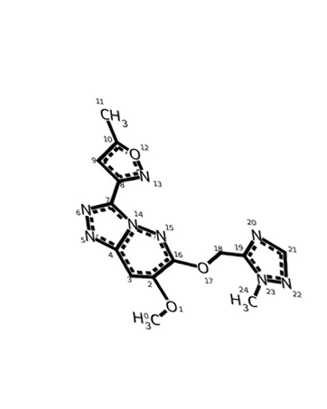 COc1cc2nnc(-c3cc(C)on3)n2nc1OCc1ncnn1C